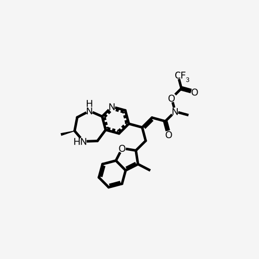 CC1=C2C=CC=CC2OC1C/C(=C\C(=O)N(C)OC(=O)C(F)(F)F)c1cnc2c(c1)CN[C@@H](C)CN2